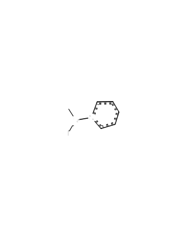 C[SiH](Cl)[n+]1ccccc1